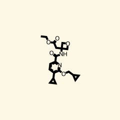 CCOC(=O)CC1(NC(=O)c2ccc(C3CC3)c(OCC3CC3)n2)COC1